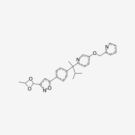 CC1OC(c2cc(-c3ccc(C(C)(c4ccc(OCc5ccccn5)cn4)C(C)C)cc3)on2)O1